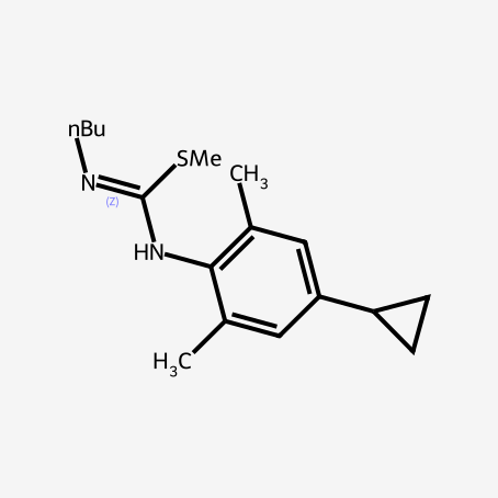 CCCC/N=C(/Nc1c(C)cc(C2CC2)cc1C)SC